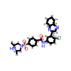 CC1CN(S(=O)(=O)c2ccc(C(=O)Nc3ccc(Cl)c(-c4cnc5ccccc5n4)c3)cc2)CC(C)N1